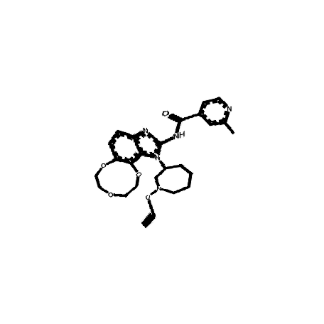 C=CON1CCCCC(n2c(NC(=O)c3ccnc(C)c3)nc3ccc4c(c32)OCCOCCO4)C1